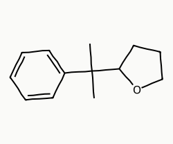 CC(C)(c1ccccc1)C1CCCO1